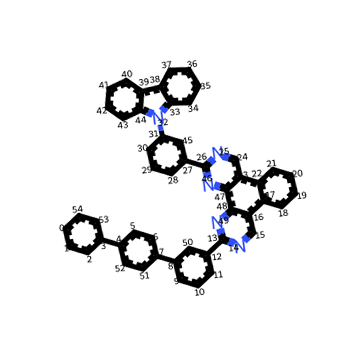 c1ccc(-c2ccc(-c3cccc(-c4ncc5c6ccccc6c6cnc(-c7cccc(-n8c9ccccc9c9ccccc98)c7)nc6c5n4)c3)cc2)cc1